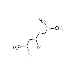 CC(C)CCC(Br)CC(C)Cl